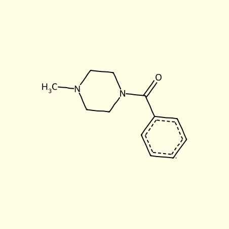 CN1CCN(C(=O)c2cc[c]cc2)CC1